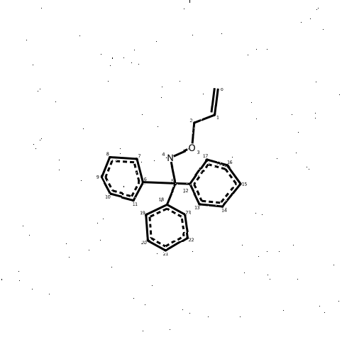 C=CCO[N]C(c1ccccc1)(c1ccccc1)c1ccccc1